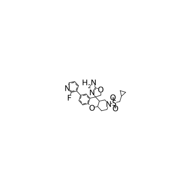 NC1=NC2(CO1)c1cc(-c3cccnc3F)ccc1OC1CCN(S(=O)(=O)CC3CC3)CC12